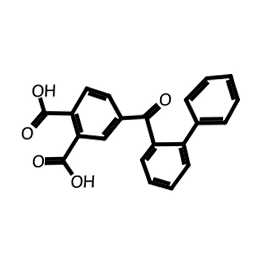 O=C(O)c1ccc(C(=O)c2ccccc2-c2ccccc2)cc1C(=O)O